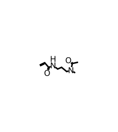 C=CC(=O)NCCCN(C)C(C)=O